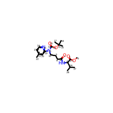 COC(=O)C(NC(=O)CCCN(C(=O)OC(C)(C)C)c1cc(C)ccn1)C(C)C